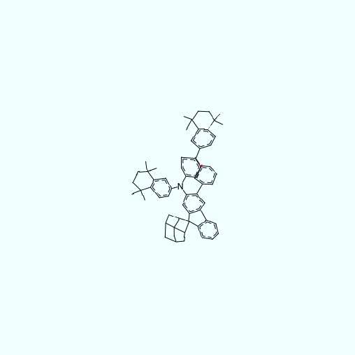 CC1(C)CCC(C)(C)c2cc(-c3ccc(N(c4ccc5c(c4)C(C)(C)CCC5(C)C)c4cc5c(cc4-c4ccccc4)-c4ccccc4C54C5CC6CC7CC4C75C6)cc3)ccc21